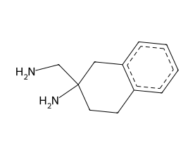 NCC1(N)CCc2ccccc2C1